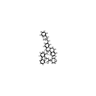 O=C(Cn1c2ccccc2c2ccnc(CN(Cc3ccc(CNCc4ccccn4)cc3)[C@H]3CCCc4cccnc43)c21)N1CCOCC1